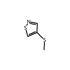 CSc1cnsc1